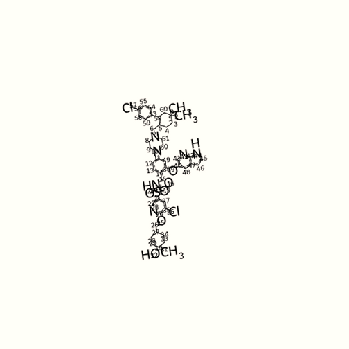 CC1(C)CCC(CN2CCN(c3ccc(C(=O)NS(=O)(=O)c4cnc(OCC5CCC(C)(O)CC5)c(Cl)c4)c(Oc4cnc5[nH]ccc5c4)c3)CC2)=C(c2ccc(Cl)cc2)C1